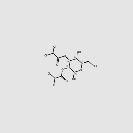 O=C(O[C@@H]1[C@@H](OC(=O)C(Cl)Cl)[C@H](O)[C@@H](CO)O[C@H]1O)C(Cl)Cl